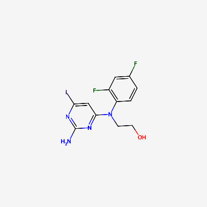 Nc1nc(I)cc(N(CCO)c2ccc(F)cc2F)n1